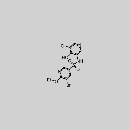 CCOc1ncc(S(=O)(=O)Nc2cncc(Cl)c2O)cc1Br